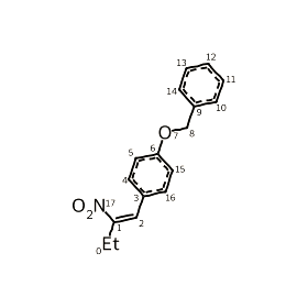 CCC(=Cc1ccc(OCc2ccccc2)cc1)[N+](=O)[O-]